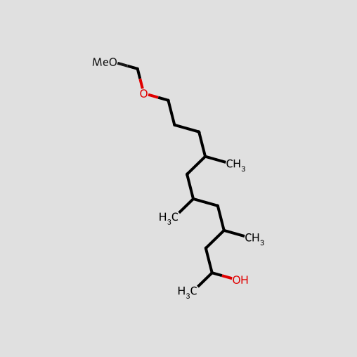 COCOCCCC(C)CC(C)CC(C)CC(C)O